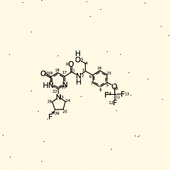 O=C(NC(CO)c1ccc(OC(F)(F)F)cc1)c1cc(=O)[nH]c(N2CC[C@@H](F)C2)n1